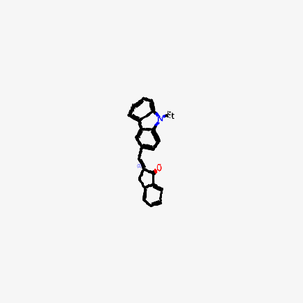 CCn1c2ccccc2c2cc(/C=C3/Cc4ccccc4C3=O)ccc21